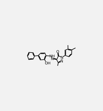 CC1=NN(c2ccc(C)c(C)c2)C(=O)C1=NNc1ccc(-c2ccccc2)cc1O